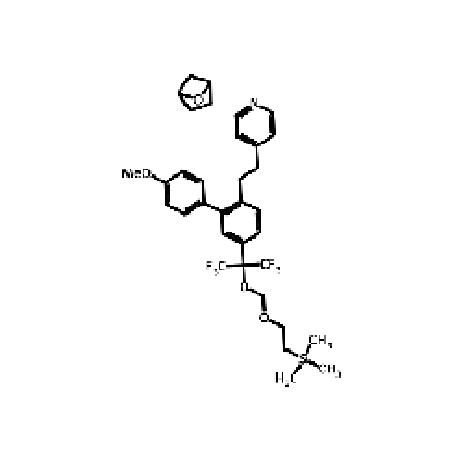 C1CC2CC1O2.COc1ccc(-c2cc(C(OCOCC[Si](C)(C)C)(C(F)(F)F)C(F)(F)F)ccc2CCc2ccncc2)cc1